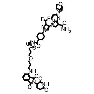 NC(=O)C1=C2N=C(N3CC4CC3CO4)C=CN2N(c2cn(C3CCC(C(=O)NS(=O)(=O)CCCOCCCNc4cccc5c4C(=O)N(C4CCC(=O)NC4=O)C5=O)CC3)nc2C(F)F)C1